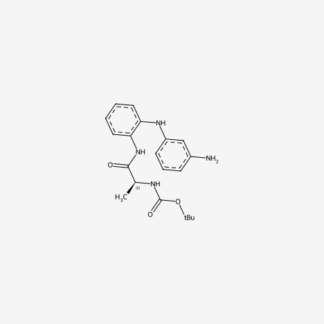 C[C@H](NC(=O)OC(C)(C)C)C(=O)Nc1ccccc1Nc1cccc(N)c1